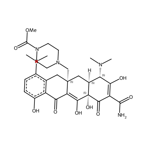 COC(=O)N1CCN(C[C@@]23Cc4c(N(C)C)ccc(O)c4C(=O)C2=C(O)[C@]2(O)C(=O)C(C(N)=O)=C(O)[C@@H](N(C)C)[C@@H]2C3)CC1